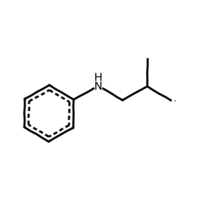 [CH2]C(C)CNc1ccccc1